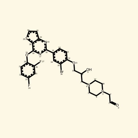 O=CCN1CCN(CC(O)COc2ccc(-c3nc(Oc4ccc(F)cc4F)c4sccc4n3)cc2Br)CC1